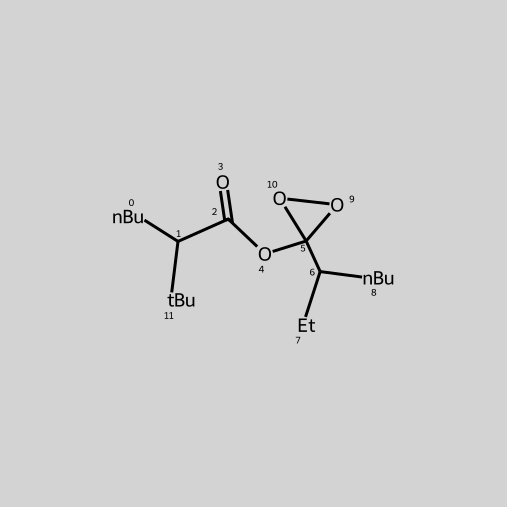 CCCCC(C(=O)OC1(C(CC)CCCC)OO1)C(C)(C)C